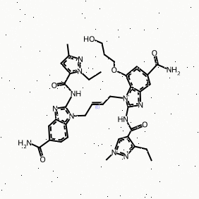 CCc1nn(C)cc1C(=O)Nc1nc2cc(C(N)=O)cc(OCCCO)c2n1C/C=C/Cn1c(NC(=O)c2cc(C)nn2CC)nc2cc(C(N)=O)ccc21